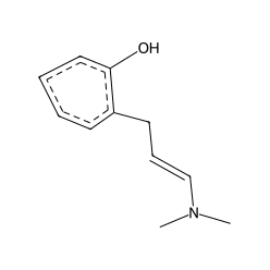 CN(C)C=CCc1ccccc1O